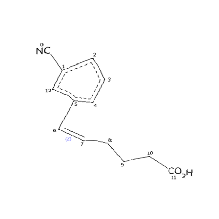 N#Cc1cccc(/C=C\CCCC(=O)O)c1